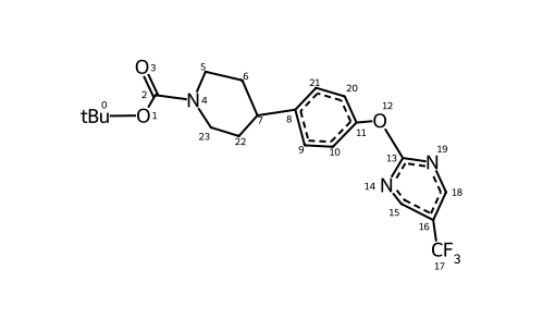 CC(C)(C)OC(=O)N1CCC(c2ccc(Oc3ncc(C(F)(F)F)cn3)cc2)CC1